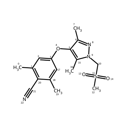 Cc1cc(Oc2c(C)nn(CS(C)(=O)=O)c2C)cc(C)c1C#N